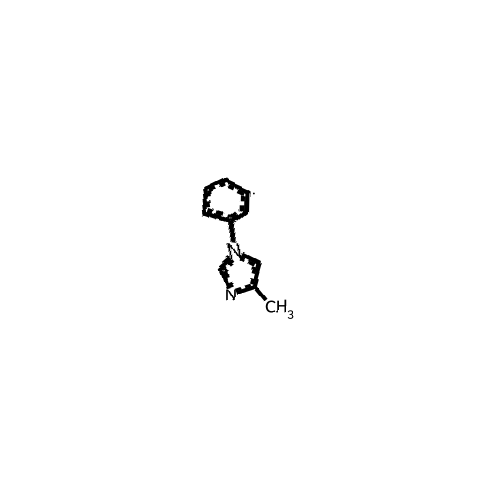 Cc1cn(-c2c[c]ccc2)cn1